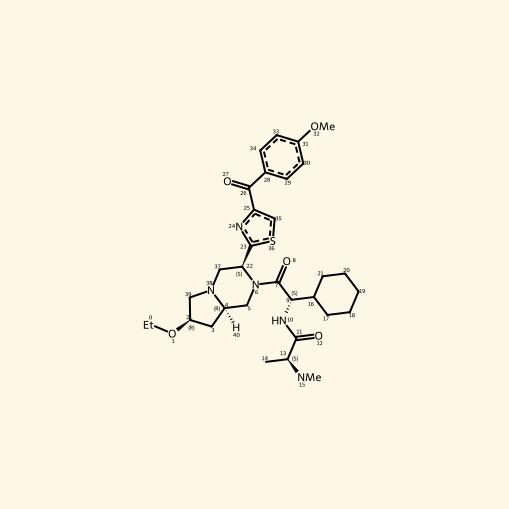 CCO[C@@H]1C[C@@H]2CN(C(=O)[C@@H](NC(=O)[C@H](C)NC)C3CCCCC3)[C@H](c3nc(C(=O)c4ccc(OC)cc4)cs3)CN2C1